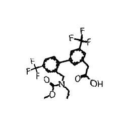 CCN(Cc1cc(C(F)(F)F)ccc1-c1cc(CC(=O)O)cc(C(F)(F)F)c1)C(=O)OC